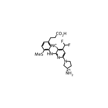 CSc1ccc(CCC(=O)O)cc1Nc1nc(N2CC[C@@H](N)C2)cc(C(F)F)c1C#N